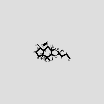 C=C[C@]12C[C@@H]3O[C@](C)(CCC)O[C@]3(C)C(C)(C)[C@@H]1CC[C@H]2C